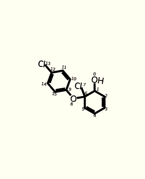 OC1C=CC=CC1(Cl)Oc1ccc(Cl)cc1